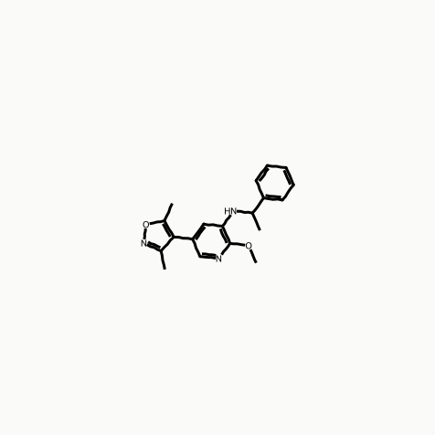 COc1ncc(-c2c(C)noc2C)cc1NC(C)c1ccccc1